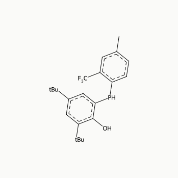 Cc1ccc(Pc2cc(C(C)(C)C)cc(C(C)(C)C)c2O)c(C(F)(F)F)c1